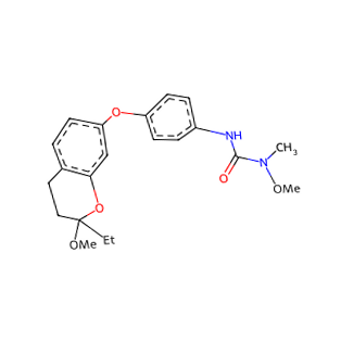 CCC1(OC)CCc2ccc(Oc3ccc(NC(=O)N(C)OC)cc3)cc2O1